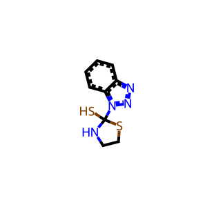 SC1(n2nnc3ccccc32)NCCS1